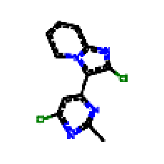 Cc1nc(Cl)cc(-c2c(Cl)nc3ccccn23)n1